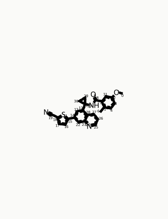 COc1ccc(C)c(C(=O)NC2(c3cc(-c4ccc(C#N)s4)cc4ncccc34)CC2)c1